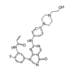 C=CC(=O)Nc1cc(-n2cnc(=O)c3cnc(Nc4ccc(N5CCN(CCO)CC5)cc4)nc32)ccc1F